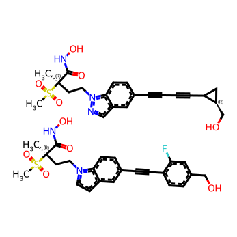 C[C@@](CCn1ccc2cc(C#Cc3ccc(CO)cc3F)ccc21)(C(=O)NO)S(C)(=O)=O.C[C@@](CCn1ncc2cc(C#CC#CC3C[C@H]3CO)ccc21)(C(=O)NO)S(C)(=O)=O